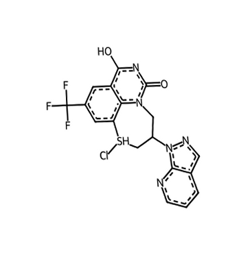 O=c1nc(O)c2cc(C(F)(F)F)cc3c2n1CC(n1ncc2cccnc21)C[SH]3Cl